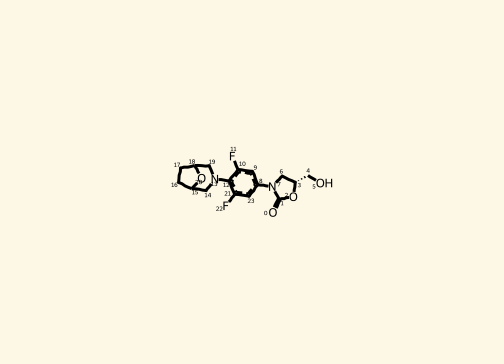 O=C1O[C@@H](CO)CN1c1cc(F)c(N2CC3CCC(C2)O3)c(F)c1